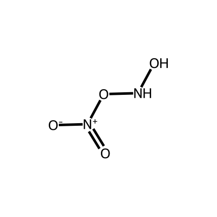 O=[N+]([O-])ONO